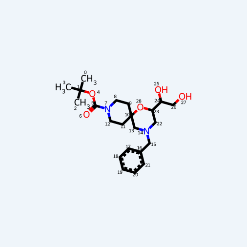 CC(C)(C)OC(=O)N1CCC2(CC1)CN(Cc1ccccc1)CC(C(O)CO)O2